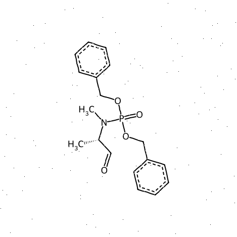 C[C@@H](C=O)N(C)P(=O)(OCc1ccccc1)OCc1ccccc1